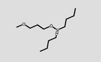 CCCC[SiH](CCCC)OCCCOC